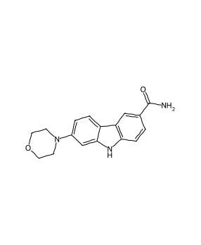 NC(=O)c1ccc2[nH]c3cc(N4CCOCC4)ccc3c2c1